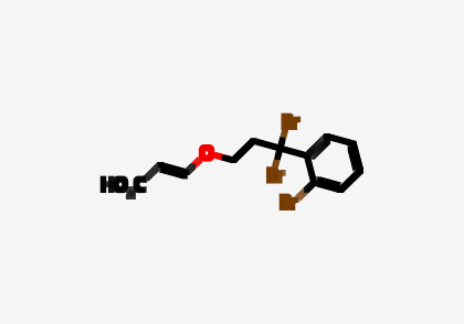 O=C(O)C=COCCC(Br)(Br)c1ccccc1Br